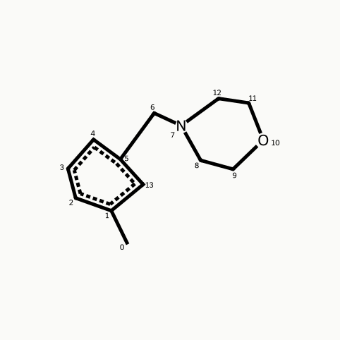 Cc1cccc(CN2CCOCC2)c1